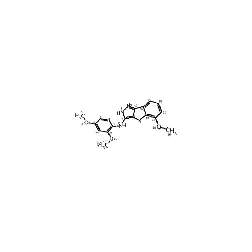 COc1ccc(Nc2[nH]nc3c2Cc2c(OC)cccc2-3)c(OC)c1